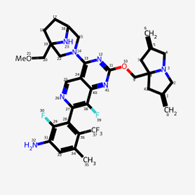 C=C1CN2CC(=C)CC2(COc2nc(N3CC4CCC(COC)(C3)N4)c3cnc(-c4c(F)c(N)cc(C)c4C(F)(F)F)c(F)c3n2)C1